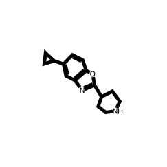 c1cc2oc(C3CCNCC3)nc2cc1C1CC1